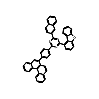 c1ccc2cc(-c3nc(-c4ccc(-c5cc6ccccc6c6c5ccc5ccccc56)cc4)nc(-c4cccc5oc6ccccc6c45)n3)ccc2c1